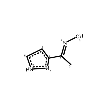 CC(=NO)c1cc[nH]n1